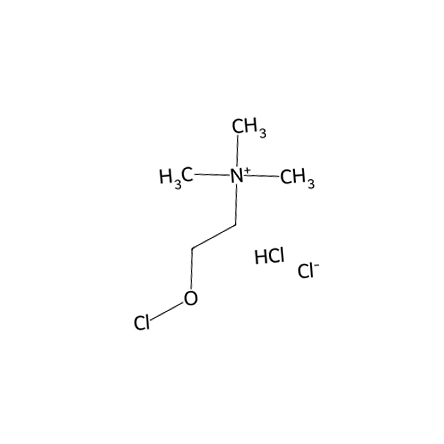 C[N+](C)(C)CCOCl.Cl.[Cl-]